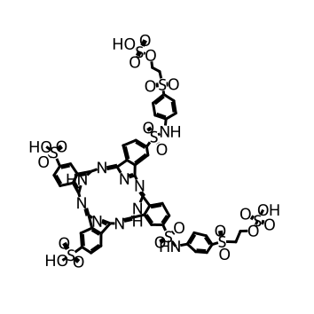 O=S(=O)(O)OCCS(=O)(=O)c1ccc(NS(=O)(=O)c2ccc3c(c2)-c2nc-3nc3[nH]c(nc4nc(nc5[nH]c(n2)c2ccc(S(=O)(=O)Nc6ccc(S(=O)(=O)CCOS(=O)(=O)O)cc6)cc52)-c2ccc(S(=O)(=O)O)cc2-4)c2ccc(S(=O)(=O)O)cc32)cc1